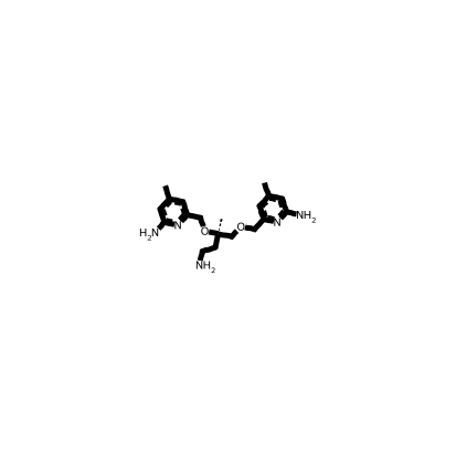 Cc1cc(N)nc(COC[C@@](C)(CCN)OCc2cc(C)cc(N)n2)c1